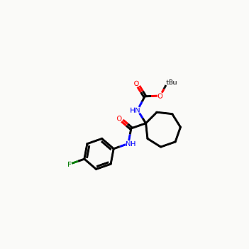 CC(C)(C)OC(=O)NC1(C(=O)Nc2ccc(F)cc2)CCCCCC1